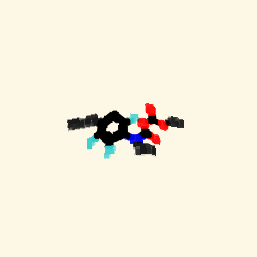 COc1cc(F)c(N(C(=O)OC(=O)OC(C)(C)C)C(C)(C)C)c(F)c1F